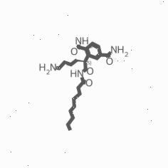 CCCCCCCCC(=O)NC(=O)[C@@H](CCCCN)c1cc(C(N)=O)ccc1C(N)=O